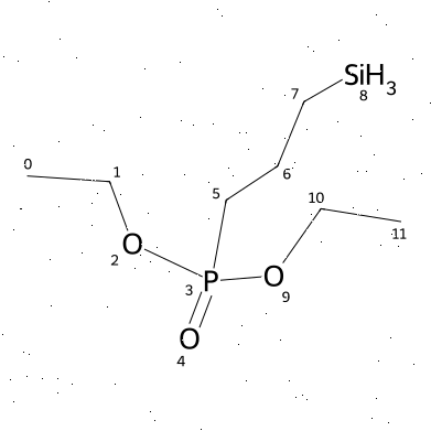 CCOP(=O)(CCC[SiH3])OCC